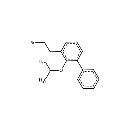 CC(C)Oc1c(CCBr)cccc1-c1ccccc1